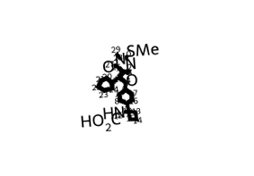 CSc1nc2oc(-c3ccc(C4(NC(=O)O)CCC4)cc3)c(-c3ccccc3)c2c(=O)n1C